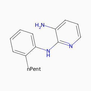 [CH2]CCCCc1ccccc1Nc1ncccc1N